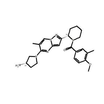 COc1ccc(C(=O)N2CCCC[C@H]2c2cc3nc(N4CC[C@H](N)C4)c(C)cn3n2)cc1C